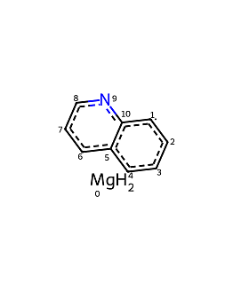 [MgH2].[c]1cccc2cccnc12